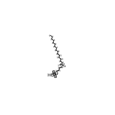 CCCCCCCCCCCCCCCC[N+](C)(C)CCCCOS(=O)(=O)O